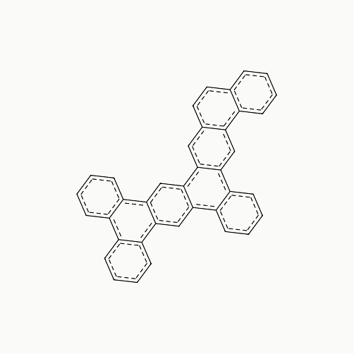 c1ccc2c(c1)ccc1cc3c(cc12)c1ccccc1c1cc2c4ccccc4c4ccccc4c2cc31